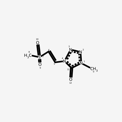 Cn1nnn(/C=C/S(C)(=O)=O)c1=O